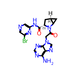 Nc1ncnc2c1ncn2CC(=O)N1C2C[C@@H]2C[C@H]1C(=O)Nc1cncc(Br)n1